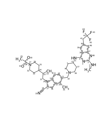 CNc1nc(NC2CCN(Cc3ccc4c(cc(C#N)n4CC(C)C4CCN(S(C)(=O)=O)CC4)c3C)CC2)c2cc(CC(F)(F)F)sc2n1